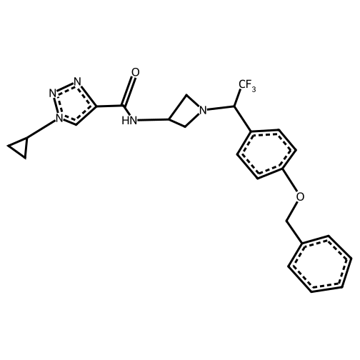 O=C(NC1CN(C(c2ccc(OCc3ccccc3)cc2)C(F)(F)F)C1)c1cn(C2CC2)nn1